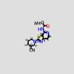 COC(=O)Nc1nccc2nc(N3CCC[C@H](C#N)C3)sc12